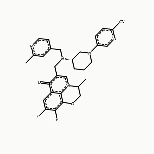 Cc1cc(CN(Cc2cn3c4c(c(F)c(F)cc4c2=O)OCC3C)[C@H]2CCCN(c3ccc(C#N)nc3)C2)ccn1